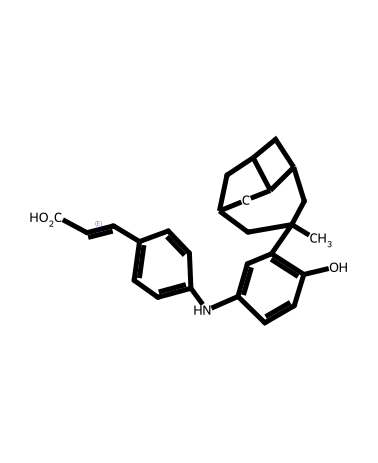 CC1(c2cc(Nc3ccc(/C=C/C(=O)O)cc3)ccc2O)CC2CC3CC(C1)C3C2